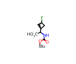 CC(C)(C)OC(=O)NC(C(=O)O)C12CC(F)(C1)C2